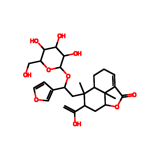 C=C(O)C1CC2OC(=O)C3=CCCC(C1(C)CC(OC1OC(CO)C(O)C(O)C1O)c1ccoc1)C32C